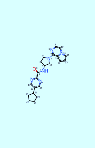 O=C(N[C@H]1CCN(c2nccn3cccc23)C1)c1ncc(C2CCCC2)cn1